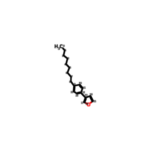 CCCCCCCCCc1ccc(-c2ccoc2)cc1